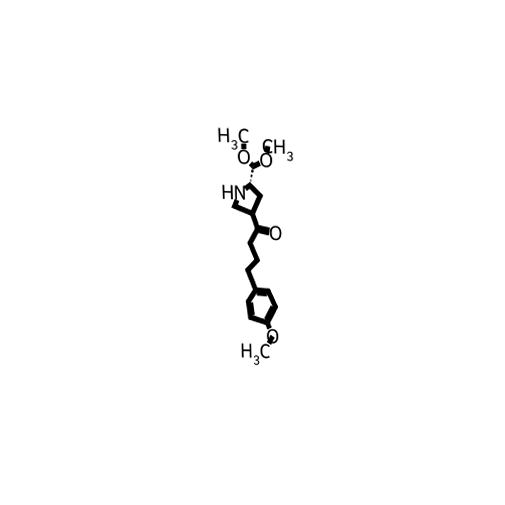 COc1ccc(CCCC(=O)C2CN[C@H](C(OC)OC)C2)cc1